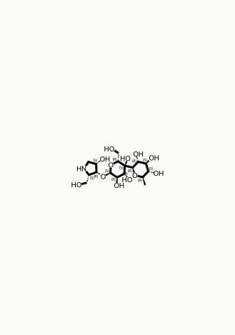 C[C@H]1O[C@@H]([C@]2(O)[C@H](O)[C@@H](O)[C@@H](O[C@@H]3[C@H](CO)NC[C@@H]3O)O[C@@H]2CO)[C@H](O)[C@@H](O)[C@@H]1O